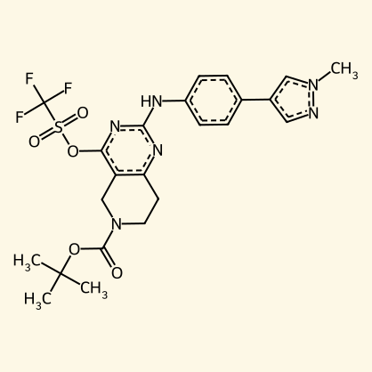 Cn1cc(-c2ccc(Nc3nc4c(c(OS(=O)(=O)C(F)(F)F)n3)CN(C(=O)OC(C)(C)C)CC4)cc2)cn1